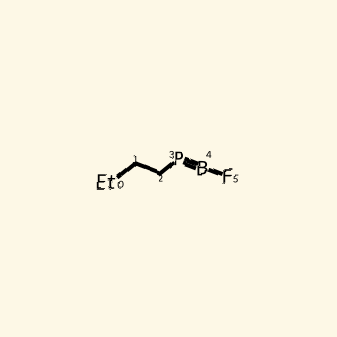 CCCCP=BF